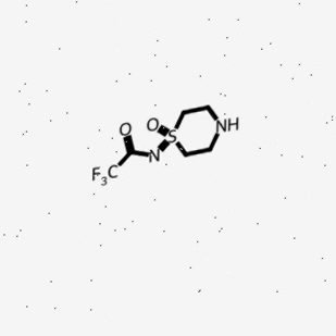 O=C(N=S1(=O)CCNCC1)C(F)(F)F